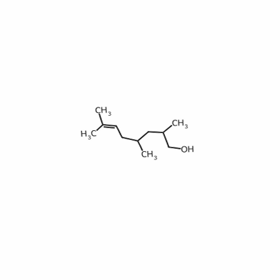 CC(C)=CCC(C)CC(C)CO